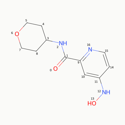 O=C(NC1CCOCC1)c1cc(NO)ccn1